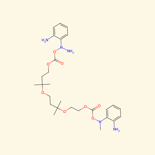 CN(OC(=O)OCCOC(C)(C)CCOC(C)(C)CCOC(=O)ON(N)c1ccccc1N)c1ccccc1N